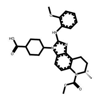 COC(=O)N1c2ccc3c(nc(Nc4ccccc4OC)n3C3CCC(C(=O)O)CC3)c2CC[C@@H]1C